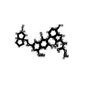 CSc1nc(OC[C@@]23CCCN2C[C@H](F)C3)nc2c(F)c(-c3ccc(F)c4sc(NC(=O)OC(C)(C)C)c(C#N)c34)c(Cl)cc12